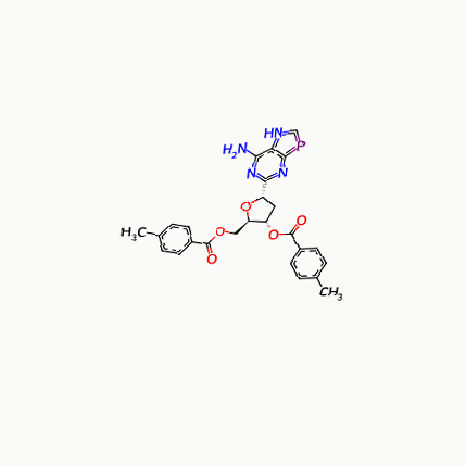 Cc1ccc(C(=O)OC[C@H]2O[C@H](c3nc(N)c4[nH]cpc4n3)C[C@@H]2OC(=O)c2ccc(C)cc2)cc1